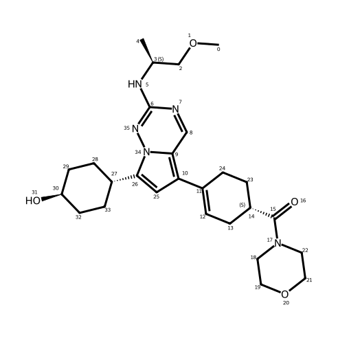 COC[C@H](C)Nc1ncc2c(C3=CC[C@@H](C(=O)N4CCOCC4)CC3)cc([C@H]3CC[C@H](O)CC3)n2n1